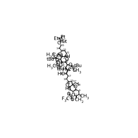 C=C(OS(=O)(=O)C(F)(F)F)[C@H](C)C[C@H]1CC[C@@H]2O[C@@H](CCC(O)/C=C/C(O[Si](C)(C)C(C)(C)C)C3O[C@H]4CC[C@H](CCO[Si](CC)(CC)CC)OC4[C@H](O[Si](C)(C)C(C)(C)C)[C@@H]3O[Si](C)(C)C(C)(C)C)C[C@]2(CI)O1